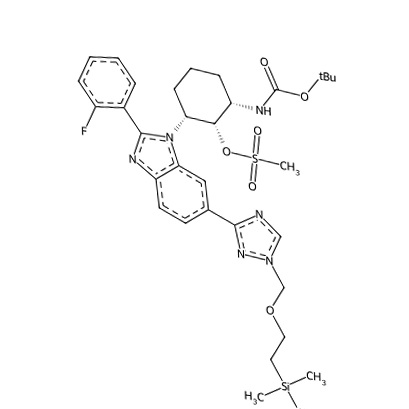 CC(C)(C)OC(=O)N[C@H]1CCC[C@@H](n2c(-c3ccccc3F)nc3ccc(-c4ncn(COCC[Si](C)(C)C)n4)cc32)[C@H]1OS(C)(=O)=O